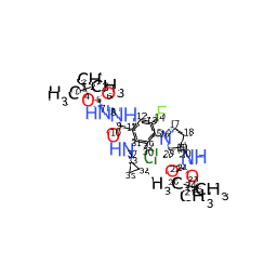 CC(C)(C)OC(=O)NNC(=O)c1cc(F)c(N2CC[C@H](NC(=O)OC(C)(C)C)C2)c(Cl)c1NC1CC1